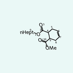 CCCCCCCOC(=O)C1CC=CCC1C(=O)OC